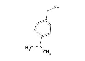 CC(C)c1ccc(CS)cc1